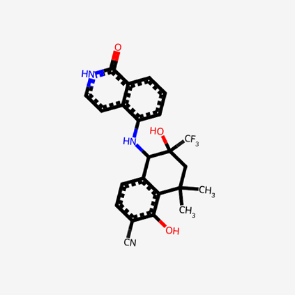 CC1(C)CC(O)(C(F)(F)F)C(Nc2cccc3c(=O)[nH]ccc23)c2ccc(C#N)c(O)c21